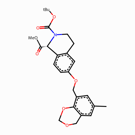 COC(=O)[C@H]1c2ccc(OCc3cc(C)cc4c3OCOC4)cc2CCN1C(=O)OC(C)(C)C